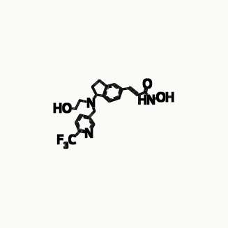 O=C(C=Cc1ccc2c(c1)CCC2N(CCO)Cc1ccc(C(F)(F)F)nc1)NO